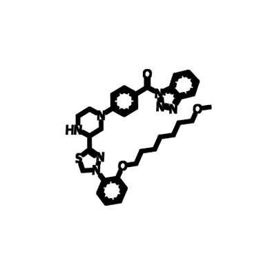 COCCCCCCCOc1ccccc1N1CSC(C2CN(c3ccc(C(=O)n4nnc5ccccc54)cc3)CCN2)=N1